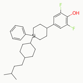 CC(C)CCC1CCC([Si]2(c3ccccc3)CCC(c3cc(F)c(O)c(F)c3)CC2)CC1